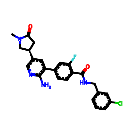 CN1C[C@H](c2cnc(N)c(-c3ccc(C(=O)NCc4cccc(Cl)c4)c(F)c3)c2)CC1=O